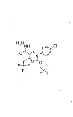 NNC(=O)c1cc(-c2ccc(Cl)cc2)c(OCC(F)(F)F)nc1CC(F)(F)F